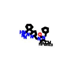 CCCCCc1c(C)n(Cc2ccccc2)c(=O)n1Cc1ccc(-c2ccccc2-c2nnn[nH]2)cn1